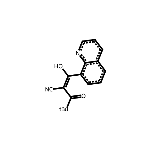 CC(C)(C)C(=O)C(C#N)=C(O)c1cccc2cccnc12